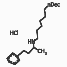 CCCCCCCCCCCCCCCCNC(C)CCc1ccccc1.Cl